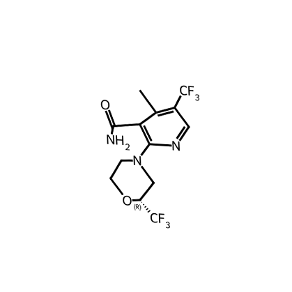 Cc1c(C(F)(F)F)cnc(N2CCO[C@@H](C(F)(F)F)C2)c1C(N)=O